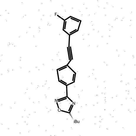 CC[C@@H](C)c1nc(-c2ccc(C#Cc3cccc(F)c3)cc2)no1